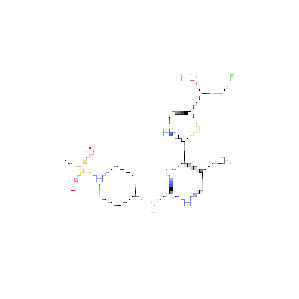 C[C@@H]1CN(S(C)(=O)=O)CC[C@@H]1Nc1ncc(C(F)(F)F)c(-c2ncc(C(O)CF)s2)n1